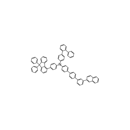 c1ccc(-c2ccccc2-c2ccc(N(c3ccc(-c4ccc(-c5cccc(-c6ccc7ccccc7c6)c5)cc4)cc3)c3ccc(-c4cccc5c4-c4ccccc4C5(c4ccccc4)c4ccccc4)cc3)cc2)cc1